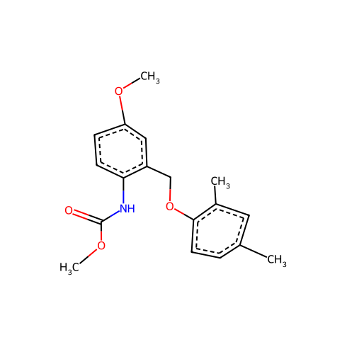 COC(=O)Nc1ccc(OC)cc1COc1ccc(C)cc1C